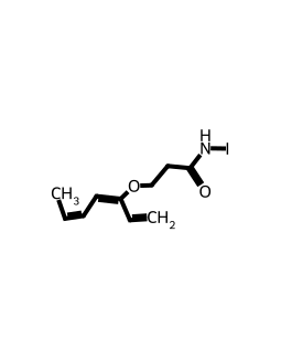 C=C/C(=C\C=C/C)OCCC(=O)NI